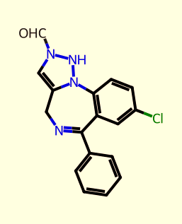 O=CN1C=C2CN=C(c3ccccc3)c3cc(Cl)ccc3N2N1